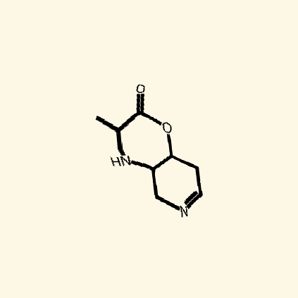 CC1NC2CN=CCC2OC1=O